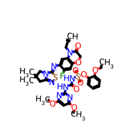 C#CCN1C(=O)COc2cc(F)c(/N=c3\snc4n3CC(C)(C)C4)cc21.CCOc1ccccc1OS(=O)(=O)NC(=O)Nc1nc(OC)cc(OC)n1